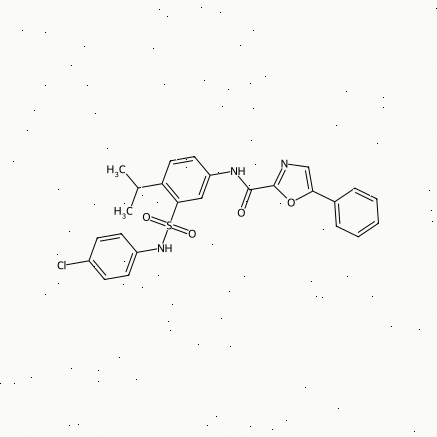 CC(C)c1ccc(NC(=O)c2ncc(-c3ccccc3)o2)cc1S(=O)(=O)Nc1ccc(Cl)cc1